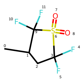 CC1CC(F)(F)S(=O)(=O)C1(F)F